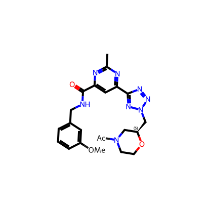 COc1cccc(CNC(=O)c2cc(-c3nnn(C[C@@H]4CN(C(C)=O)CCO4)n3)nc(C)n2)c1